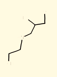 CCCNCC(O)CO